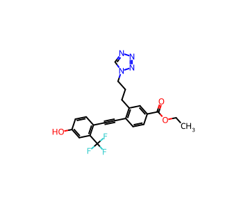 CCOC(=O)c1ccc(C#Cc2ccc(O)cc2C(F)(F)F)c(CCCn2cnnn2)c1